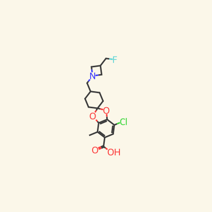 Cc1c(C(=O)O)cc(Cl)c2c1OC1(CCC(CN3CC(CF)C3)CC1)O2